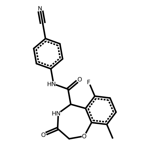 Cc1ccc(F)c2c1OCC(=O)NC2C(=O)Nc1ccc(C#N)cc1